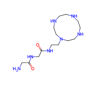 NCC(=O)NCC(=O)NCCN1CCNCCNCCNCC1